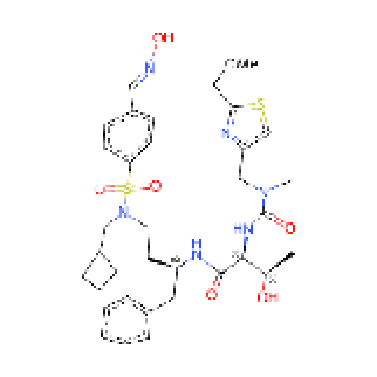 COCc1nc(CN(C)C(=O)N[C@H](C(=O)N[C@H](CCN(CC2CCC2)S(=O)(=O)c2ccc(C=NO)cc2)Cc2ccccc2)[C@@H](C)O)cs1